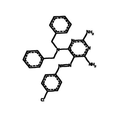 Nc1nc(N)c(N=Nc2ccc(Cl)cc2)c(N(Cc2ccccc2)Cc2ccccc2)n1